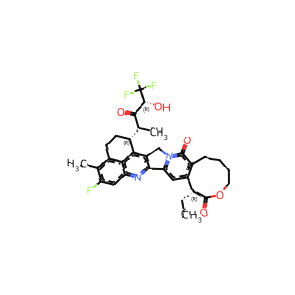 CC[C@H]1C(=O)OCCCCc2c1cc1n(c2=O)Cc2c-1nc1cc(F)c(C)c3c1c2[C@@H](C(C)C(=O)[C@@H](O)C(F)(F)F)CC3